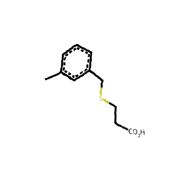 Cc1cccc(CSCCC(=O)O)c1